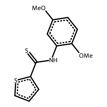 COc1ccc(OC)c(NC(=S)c2cccs2)c1